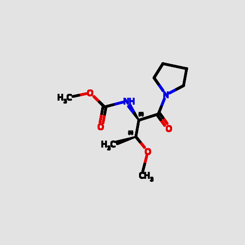 COC(=O)N[C@@H](C(=O)N1CCCC1)[C@H](C)OC